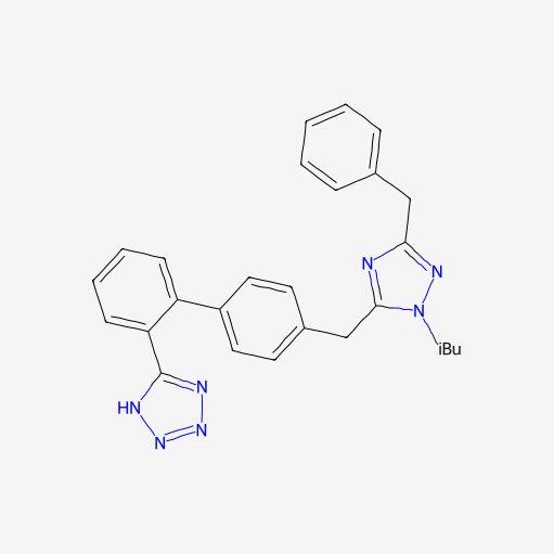 CCC(C)n1nc(Cc2ccccc2)nc1Cc1ccc(-c2ccccc2-c2nnn[nH]2)cc1